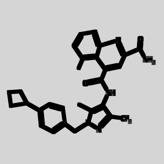 Cc1cccc2nc(C(N)=O)cc(C(=O)Nc3c(C(F)(F)F)nn(Cc4ccc(C5CCC5)cc4)c3C)c12